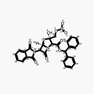 C[C@@]1(CO[N+](=O)[O-])S[C@@H]2C(N3C(=O)c4ccccc4C3=O)C(=O)N2C1C(=O)OC(c1ccccc1)c1ccccc1